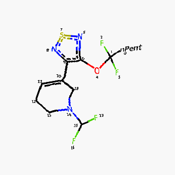 CCCCCC(F)(F)Oc1nsnc1C1=CCCN(C(F)F)C1